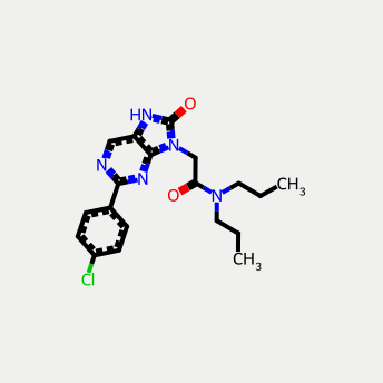 CCCN(CCC)C(=O)Cn1c(=O)[nH]c2cnc(-c3ccc(Cl)cc3)nc21